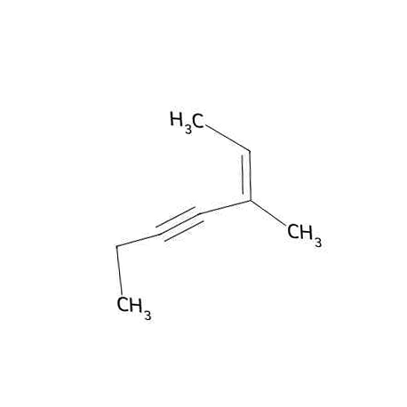 CC=C(C)C#CCC